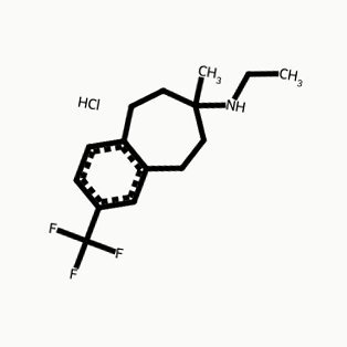 CCNC1(C)CCc2ccc(C(F)(F)F)cc2CC1.Cl